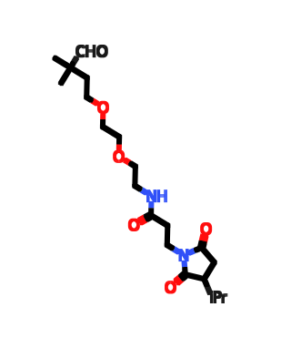 CC(C)C1CC(=O)N(CCC(=O)NCCOCCOCCC(C)(C)C=O)C1=O